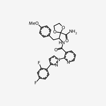 COc1ccc(CC(NC(=O)c2cccnc2-n2ccc(-c3ccc(F)cc3F)n2)C2(C(N)=O)OCCO2)cc1